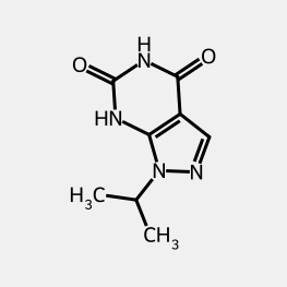 CC(C)n1ncc2c(=O)[nH]c(=O)[nH]c21